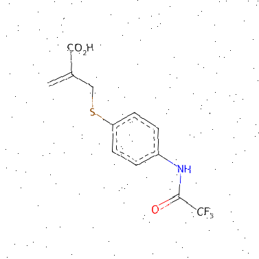 C=C(CSc1ccc(NC(=O)C(F)(F)F)cc1)C(=O)O